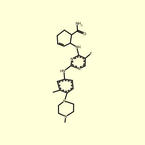 Cc1cc(Nc2ncc(F)c(NC3C=CCCC3C(N)=O)n2)ccc1N1CCN(C)CC1